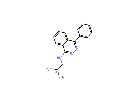 C[C@H](N)CNc1nnc(-c2ccccc2)c2ccccc12